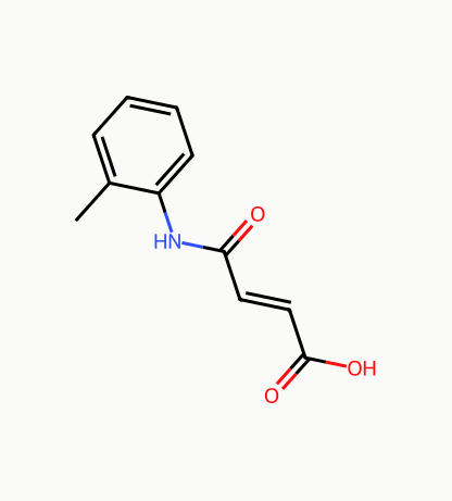 Cc1ccccc1NC(=O)C=CC(=O)O